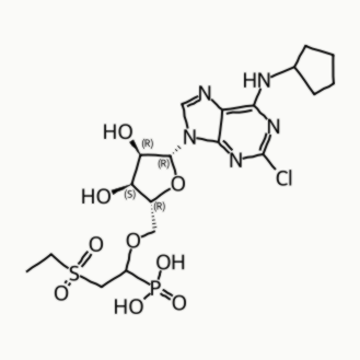 CCS(=O)(=O)CC(OC[C@H]1O[C@@H](n2cnc3c(NC4CCCC4)nc(Cl)nc32)[C@H](O)[C@@H]1O)P(=O)(O)O